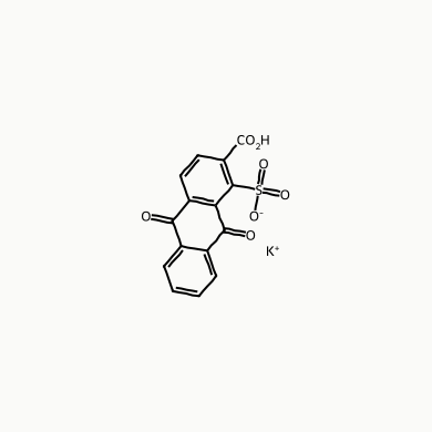 O=C1c2ccccc2C(=O)c2c1ccc(C(=O)O)c2S(=O)(=O)[O-].[K+]